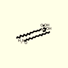 CCCCCCCCCCCCCCCC(N)=O.CCCCCCCCCCCCCCCCN1CCC(O)[C@H]1C(=O)O